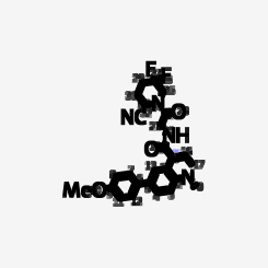 C=Nc1ccc(-c2ccc(OC)cc2)cc1/C(=C\C)C(=O)NCC(=O)N1CC(F)(F)CC[C@H]1C#N